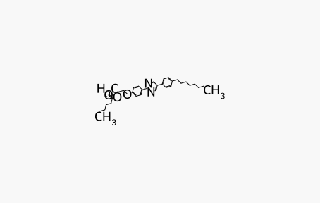 CCCCCCCCc1ccc(-c2cnc(-c3ccc(OCC(C)OC(=O)CCCCC)cc3)nc2)cc1